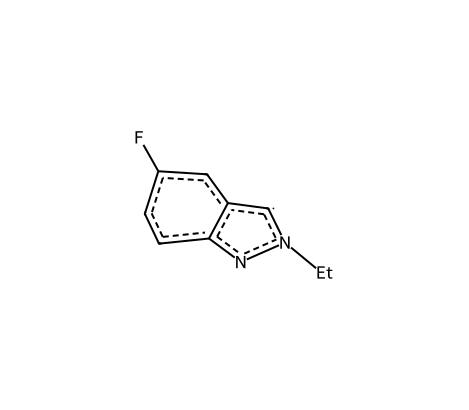 CCn1[c]c2cc(F)ccc2n1